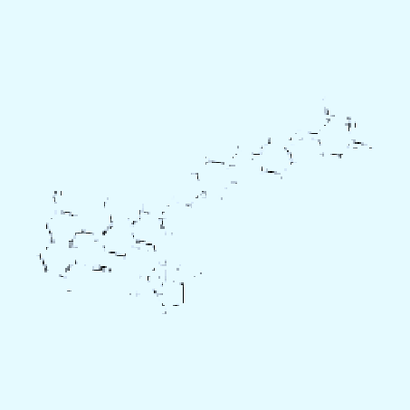 C#Cc1c(F)ccc2cc(O)cc(-c3ncc4c(N5C[C@H]6CC[C@@H](C5)N6)nc(OCC5CCN(Cc6cccc(NC7CCC(=O)NC7=O)c6)CC5)nc4c3F)c12